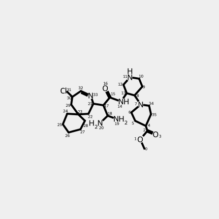 COC(=O)C1CCN(C2CCNCC2NC(=O)C(C(N)N)C2CC3(CCCCC3)CC(Cl)C=N2)CC1